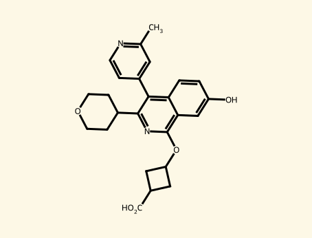 Cc1cc(-c2c(C3CCOCC3)nc(OC3CC(C(=O)O)C3)c3cc(O)ccc23)ccn1